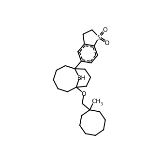 CC1(COC23BC(c4ccc5c(c4)CCS5(=O)=O)(CCCCC2)CCC3)CCCCCCC1